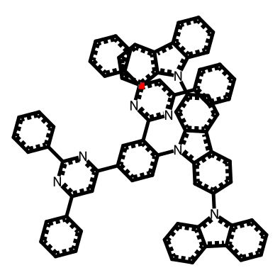 c1ccc(-c2cc(-c3ccc(-n4c5cc(-n6c7ccccc7c7ccccc76)ccc5c5ccc(-n6c7ccccc7c7ccccc76)cc54)c(-c4nc(-c5ccccc5)cc(-c5ccccc5)n4)c3)nc(-c3ccccc3)n2)cc1